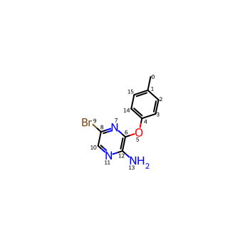 Cc1ccc(Oc2nc(Br)cnc2N)cc1